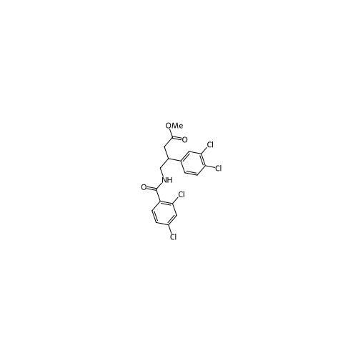 COC(=O)CC(CNC(=O)c1ccc(Cl)cc1Cl)c1ccc(Cl)c(Cl)c1